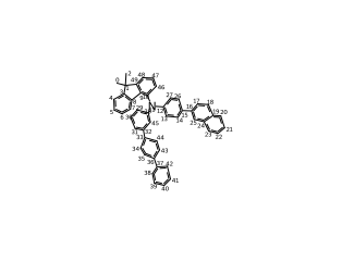 CC1(C)c2ccccc2-c2c(N(c3ccc(-c4ccc5ccccc5c4)cc3)c3cccc(-c4ccc(-c5ccccc5)cc4)c3)cccc21